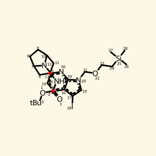 CC(C)(C)OC(=O)NC1CC2CCC(C1)N2c1cnc2c(I)cn(COCC[Si](C)(C)C)c2n1